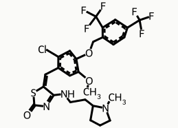 COc1cc(C=C2SC(=O)N=C2NCCC2CCCN2C)c(Cl)cc1OCc1ccc(C(F)(F)F)cc1C(F)(F)F